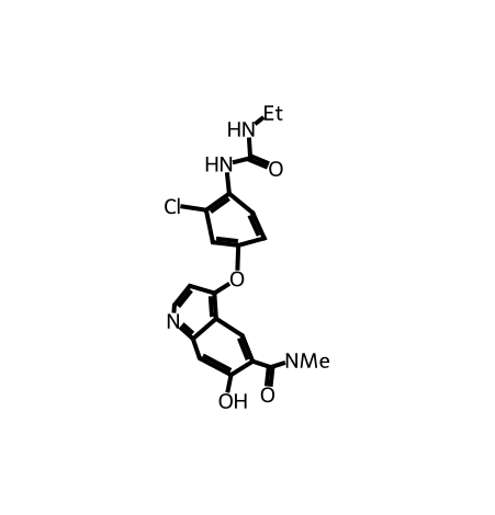 CCNC(=O)Nc1ccc(Oc2ccnc3cc(O)c(C(=O)NC)cc23)cc1Cl